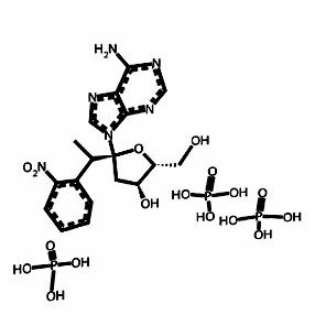 CC(c1ccccc1[N+](=O)[O-])[C@]1(n2cnc3c(N)ncnc32)C[C@H](O)[C@@H](CO)O1.O=P(O)(O)O.O=P(O)(O)O.O=P(O)(O)O